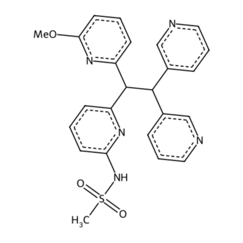 COc1cccc(C(c2cccc(NS(C)(=O)=O)n2)C(c2cccnc2)c2cccnc2)n1